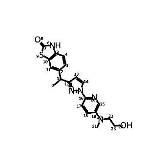 CC(c1ccc2[nH]c(=O)sc2c1)c1ccn(-c2ccc(N(C)CCO)cn2)n1